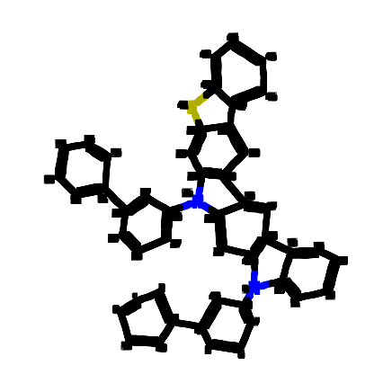 c1ccc(-c2cccc(-n3c4ccccc4c4cc5c6cc7c(cc6n(-c6cccc(-c8ccccc8)c6)c5cc43)sc3ccccc37)c2)cc1